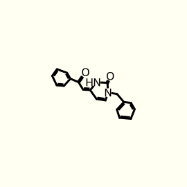 O=C(/C=C1/C=CN(Cc2ccccc2)C(=O)N1)c1ccccc1